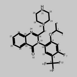 CC(C)Oc1cc(F)c(C(F)(F)F)cc1-n1c(CN2CCNCC2)nc2ccccc2c1=O